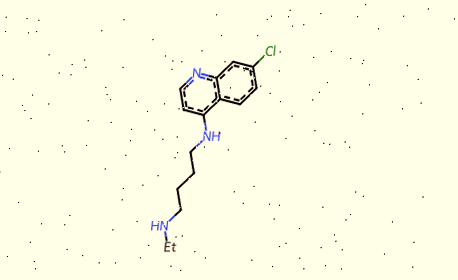 CCNCCCCNc1ccnc2cc(Cl)ccc12